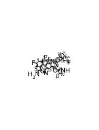 N#Cc1c(N)sc2c(F)ccc(-c3c(Cl)cc4c(OC5CNCC5F)nc(OCC56CCCN5CC(F)C6)nc4c3C(F)(F)F)c12